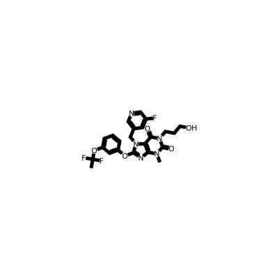 Cn1c(=O)n(CCCO)c(=O)c2c1nc(Oc1cccc(OC(C)(F)F)c1)n2Cc1cncc(F)c1